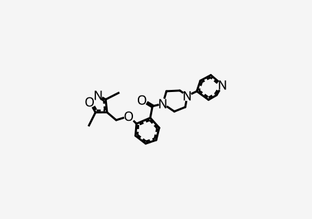 Cc1noc(C)c1COc1ccccc1C(=O)N1CCN(c2ccncc2)CC1